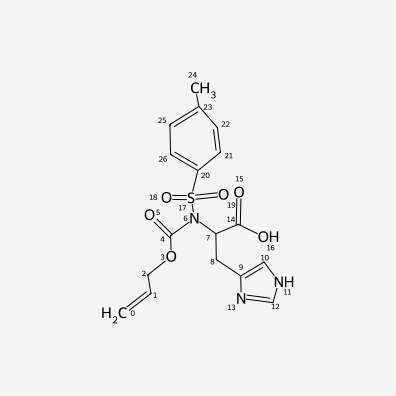 C=CCOC(=O)N(C(Cc1c[nH]cn1)C(=O)O)S(=O)(=O)c1ccc(C)cc1